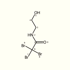 O=C(NCCO)C(Br)(Br)Br